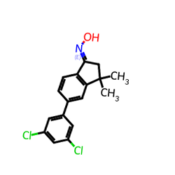 CC1(C)C/C(=N\O)c2ccc(-c3cc(Cl)cc(Cl)c3)cc21